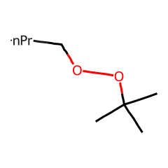 CC[CH]COOC(C)(C)C